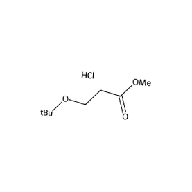 COC(=O)CCOC(C)(C)C.Cl